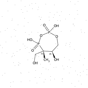 C[C@]1(CO)[C@H](O)COP(=O)(O)OP1(=O)O